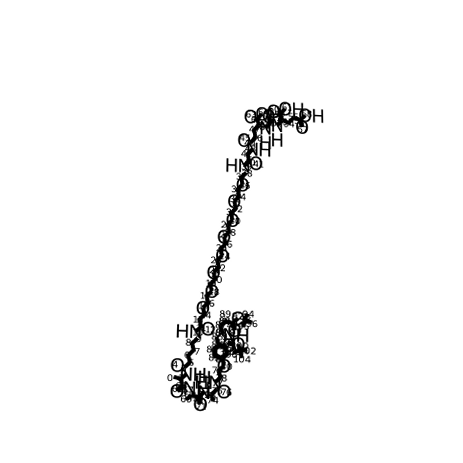 CC(NC(=O)CCCCCNC(=O)CCOCCOCCOCCOCCOCCOCCOCCOCCNC(=O)CNC(=O)CCC(NC(=O)NC(CCC(=O)O)C(=O)O)C(=O)O)C(=O)NC(C)C(=O)NC(C)C(=O)NCCOc1ccc(C[C@@H](C[C@H](C)C(=O)OC(C)(C)C)NC(=O)OC(C)(C)C)cc1